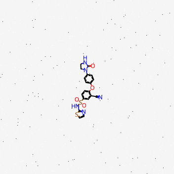 N#Cc1cc(S(=O)(=O)Nc2nccs2)ccc1Oc1ccc(N2CCNC2=O)cc1